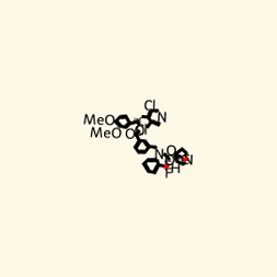 COc1ccc([C@H](Cc2c(Cl)cncc2Cl)OC(=O)c2cccc(CN(C(=O)O[C@H]3CN4CCC3CC4)c3ccccc3C(F)F)c2)cc1OC